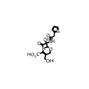 COC1(NC(=O)Cc2cccs2)C(=O)N2C(C(=O)O)=C(CO)COC21